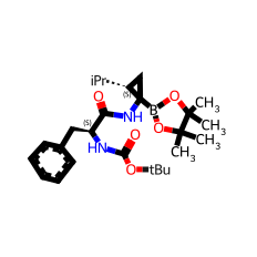 CC(C)[C@@H]1CC1(NC(=O)[C@H](Cc1ccccc1)NC(=O)OC(C)(C)C)B1OC(C)(C)C(C)(C)O1